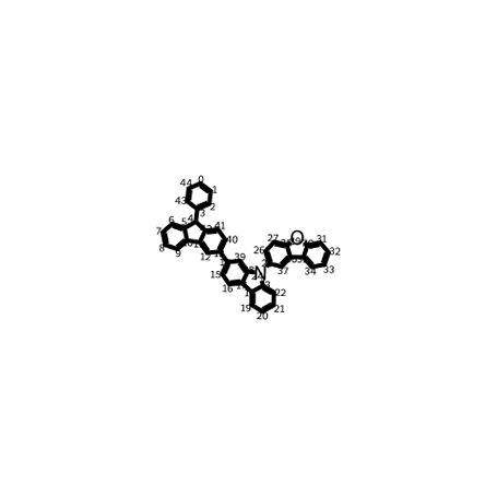 c1ccc(C2c3ccccc3-c3cc(-c4ccc5c6ccccc6n(-c6ccc7oc8ccccc8c7c6)c5c4)ccc32)cc1